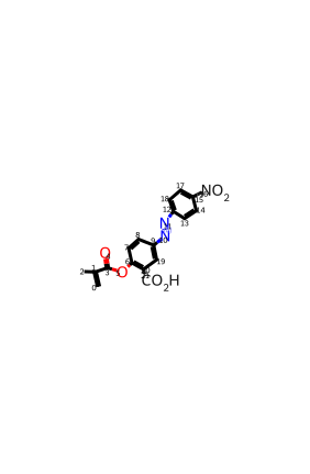 C=C(C)C(=O)Oc1ccc(/N=N/c2ccc([N+](=O)[O-])cc2)cc1C(=O)O